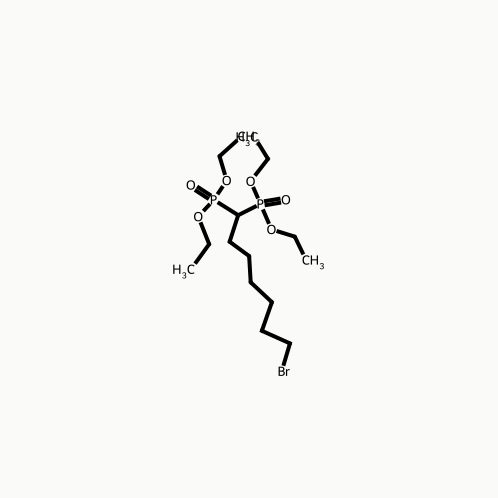 CCOP(=O)(OCC)C(CCCCCCBr)P(=O)(OCC)OCC